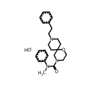 CN(C(=O)N1CCOC2(CCN(CCc3ccccc3)CC2)C1)c1ccccc1.Cl